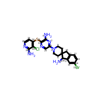 Nc1nc(N2CCC3(CC2)Cc2ccc(Br)cc2C3N)cnc1Sc1ccnc(N)c1Cl